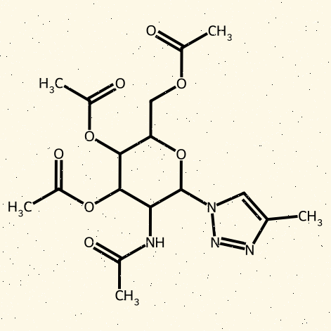 CC(=O)NC1C(OC(C)=O)C(OC(C)=O)C(COC(C)=O)OC1n1cc(C)nn1